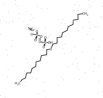 CCCCCCCCCCCCOCCCCCCCCCCCC.O=S(=O)(O)O.O=S(=O)([O-])[O-].[Na+].[Na+]